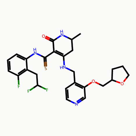 CC1CC(NCc2ccncc2OCC2CCCO2)=C(C(=S)Nc2cccc(F)c2CC(F)F)C(=O)N1